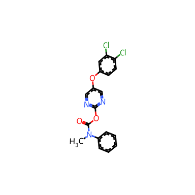 CN(C(=O)Oc1ncc(Oc2ccc(Cl)c(Cl)c2)cn1)c1ccccc1